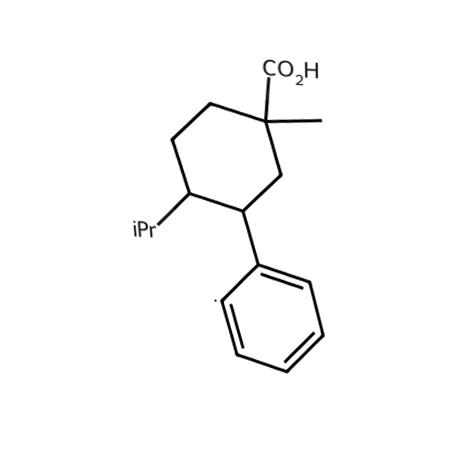 CC(C)C1CCC(C)(C(=O)O)CC1c1[c]cccc1